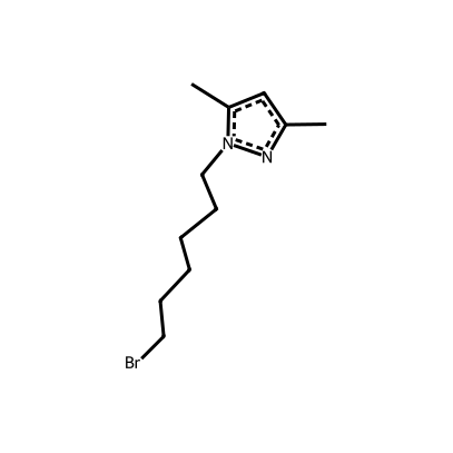 Cc1cc(C)n(CCCCCCBr)n1